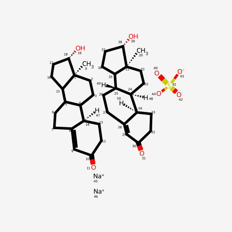 C[C@]12CCC3C(CCC4=CC(=O)CC[C@@H]43)C1CC[C@@H]2O.C[C@]12CC[C@@H]3[C@H](CCC4=CC(=O)CC[C@@H]43)C1CC[C@@H]2O.O=S(=O)([O-])[O-].[Na+].[Na+]